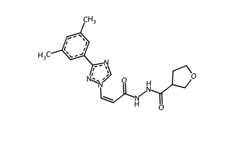 Cc1cc(C)cc(-c2ncn(/C=C\C(=O)NNC(=O)C3CCOC3)n2)c1